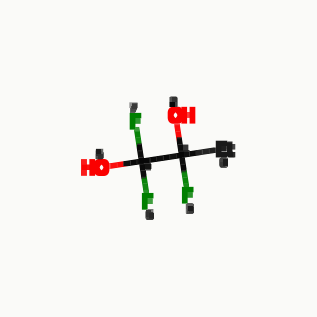 CCC(O)(F)C(O)(F)F